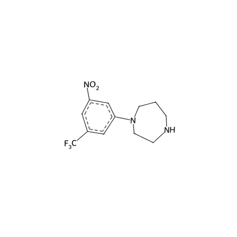 O=[N+]([O-])c1cc(N2CCCNCC2)cc(C(F)(F)F)c1